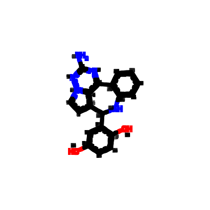 Nc1nc2c3c(ccn3n1)C(c1cc(O)ccc1O)Nc1ccccc1-2